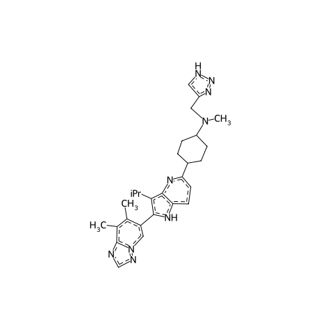 Cc1c(-c2[nH]c3ccc(C4CCC(N(C)Cc5c[nH]nn5)CC4)nc3c2C(C)C)cn2ncnc2c1C